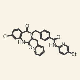 CCc1ccc(NC(=O)c2ccc(CN3C(=O)c4ccc(Cl)cc4NC(=O)C3Cc3ccccn3)cc2)nc1